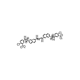 COC(=O)c1cc(NS(=O)(=O)c2ccc3ccc(NC=NNc4ccc5ccc(S(=O)(=O)Nc6ccc(Cl)c(C(=O)OC)c6)cc5c4)cc3c2)ccc1Cl